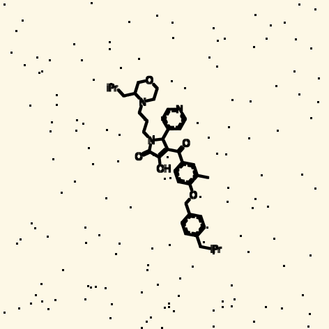 Cc1cc(C(=O)C2=C(O)C(=O)N(CCCN3CCOCC3CC(C)C)C2c2ccncc2)ccc1OCc1ccc(CC(C)C)cc1